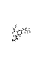 CON(C)C(=O)c1cc(O[Si](C)(C)C(C)(C)C)ccc1NC(=O)O